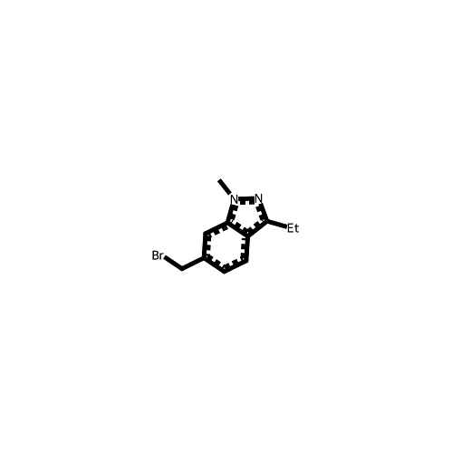 CCc1nn(C)c2cc(CBr)ccc12